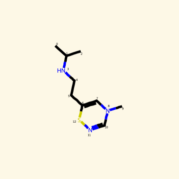 CC(C)NCCC1=CN(C)C=NS1